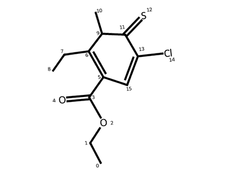 CCOC(=O)C1=C(CC)C(C)C(=S)C(Cl)=C1